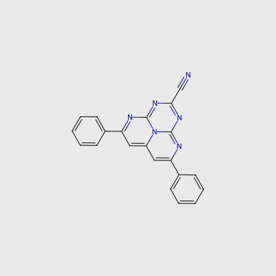 N#CC1=NC2=NC(c3ccccc3)=CC3=CC(c4ccccc4)=NC(=N1)N32